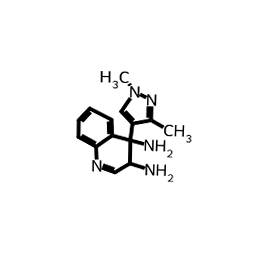 Cc1nn(C)cc1C1(N)c2ccccc2N=CC1N